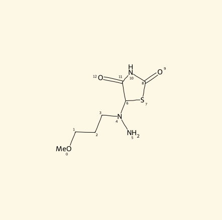 COCCCN(N)C1SC(=O)NC1=O